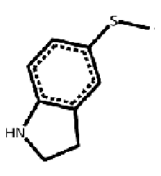 [CH2]Sc1ccc2c(c1)CCN2